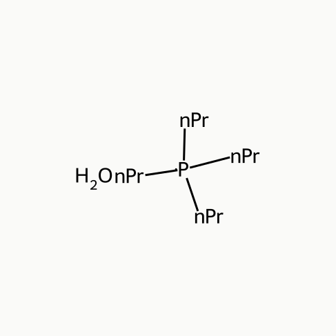 CCC[P](CCC)(CCC)CCC.O